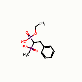 CCOP(=O)(O)C(Cc1ccccc1)P(C)(=O)O